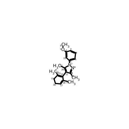 COc1cccc(-n2nc(C)c(C3=C(C)CCC=C3C)c2C)c1